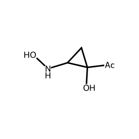 CC(=O)C1(O)CC1NO